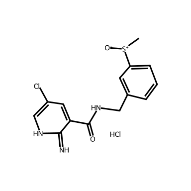 C[S+]([O-])c1cccc(CNC(=O)c2cc(Cl)c[nH]c2=N)c1.Cl